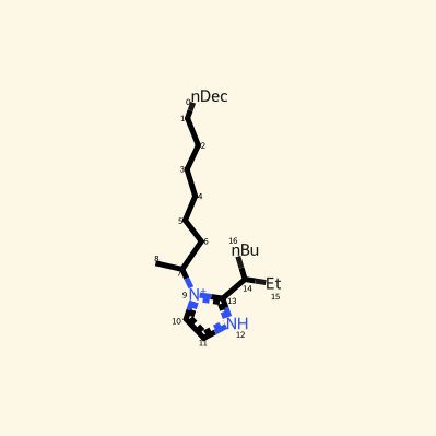 CCCCCCCCCCCCCCCCC(C)[n+]1cc[nH]c1C(CC)CCCC